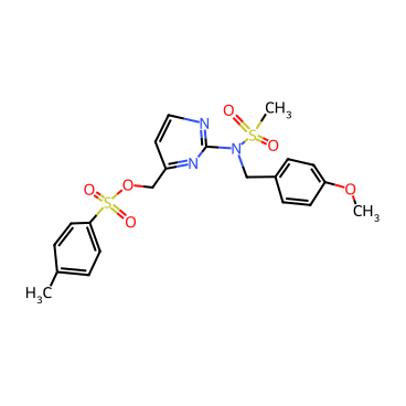 COc1ccc(CN(c2nccc(COS(=O)(=O)c3ccc(C)cc3)n2)S(C)(=O)=O)cc1